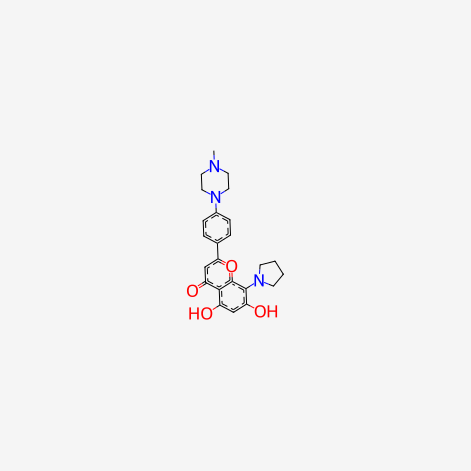 CN1CCN(c2ccc(-c3cc(=O)c4c(O)cc(O)c(N5CCCC5)c4o3)cc2)CC1